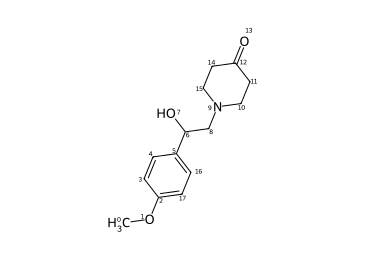 COc1ccc(C(O)CN2CCC(=O)CC2)cc1